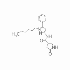 CCCCCCn1nc(NC(=O)C2CNC(=O)C2)cc1-c1ccccc1